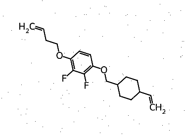 C=CCCOc1ccc(OCC2CCC(C=C)CC2)c(F)c1F